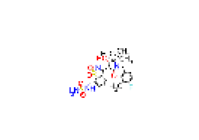 Cc1cc(CN2C(=O)C(C3=NS(=O)(=O)c4c(CNS(N)(=O)=O)cccc43)=C(O)[C@@H]2C(C)(C)C)ccc1F